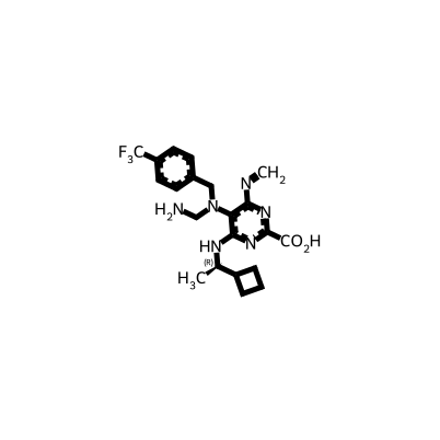 C=Nc1nc(C(=O)O)nc(N[C@H](C)C2CCC2)c1N(CN)Cc1ccc(C(F)(F)F)cc1